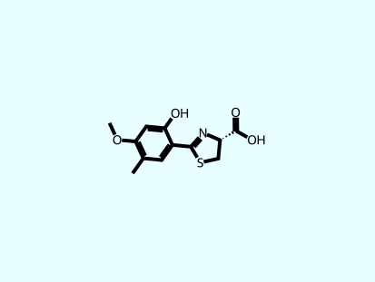 COc1cc(O)c(C2=N[C@H](C(=O)O)CS2)cc1C